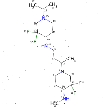 CN[C@@H]1CCN(C(C)CCNC2CCN(C(C)C)CC2(F)F)CC1(F)F